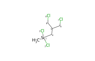 C[Si](Cl)(Cl)CC(CCl)CCl